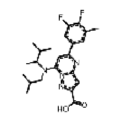 CC(C)CN(c1cc(-c2cc(F)c(F)c(F)c2)nc2cc(C(=O)O)nn12)C(C)C(C)C